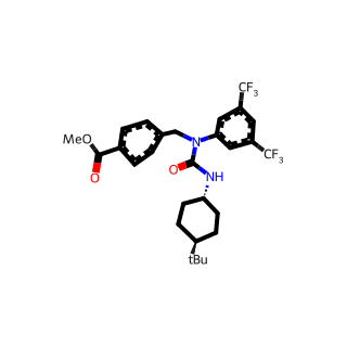 COC(=O)c1ccc(CN(C(=O)N[C@H]2CC[C@H](C(C)(C)C)CC2)c2cc(C(F)(F)F)cc(C(F)(F)F)c2)cc1